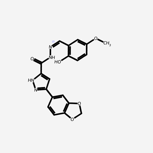 COc1ccc(O)c(/C=N\NC(=O)c2cc(-c3ccc4c(c3)OCO4)n[nH]2)c1